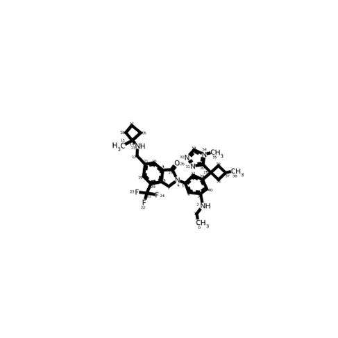 CCNc1cc(N2Cc3c(cc(CNC4(C)CCC4)cc3C(F)(F)F)C2=O)cc(C2(c3nncn3C)CC(C)C2)c1